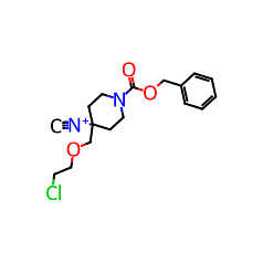 [C-]#[N+]C1(COCCCl)CCN(C(=O)OCc2ccccc2)CC1